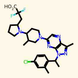 Cc1cc(Cl)ccc1C(C)n1nc(C)c2ncc(N3CCC(N4CCCC4CC(F)(F)C(=O)O)C(C)C3)nc21